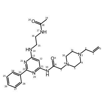 C=CCN1CCN(CC(=O)Nc2cc(NCCNC(C)=O)nc(-c3ccccc3)n2)CC1